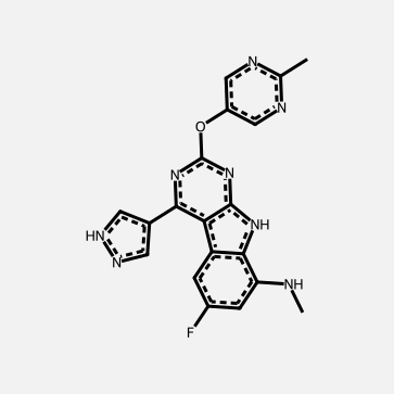 CNc1cc(F)cc2c1[nH]c1nc(Oc3cnc(C)nc3)nc(-c3cn[nH]c3)c12